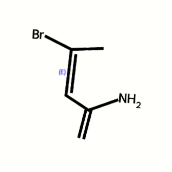 C=C(N)/C=C(\C)Br